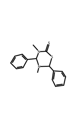 CN1C(=S)SC(c2ccccc2)N(C)C1c1ccccc1